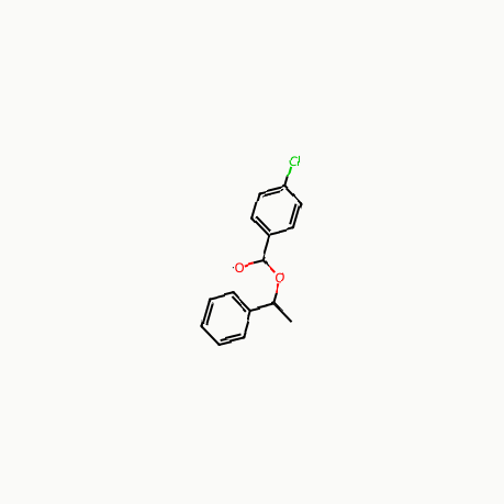 CC(OC([O])c1ccc(Cl)cc1)c1ccccc1